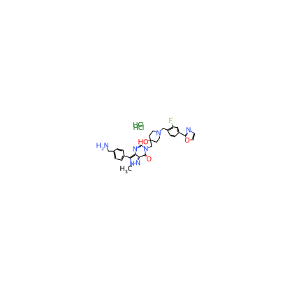 Cl.Cl.Cn1nc2c(=O)n(CC3(O)CCN(Cc4ccc(-c5ncco5)cc4F)CC3)cnc2c1-c1ccc(CN)cc1